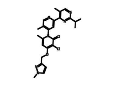 Cc1cnc(-c2nc(C(C)C)ncc2C)cc1-n1c(C)cc(OCc2ccn(C)n2)c(Cl)c1=O